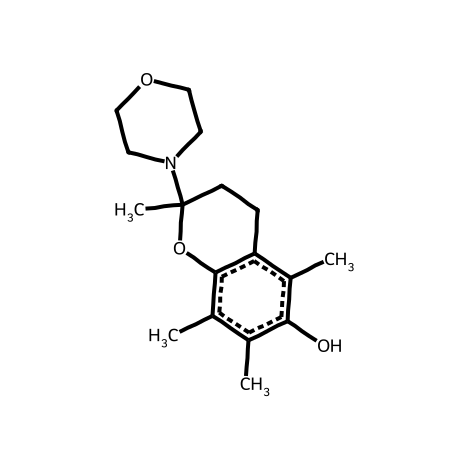 Cc1c(C)c2c(c(C)c1O)CCC(C)(N1CCOCC1)O2